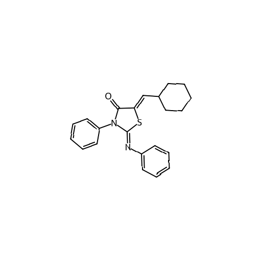 O=C1/C(=C/C2CCCCC2)S/C(=N\c2ccccc2)N1c1ccccc1